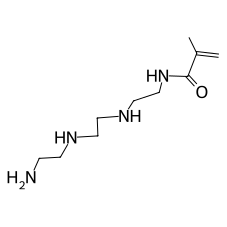 C=C(C)C(=O)NCCNCCNCCN